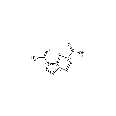 NC(=O)n1cnc2ccc(C(=O)O)cc21